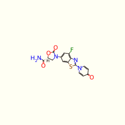 NC(=O)[C@H]1CN(c2cc(F)c3nc(-n4ccc(=O)cc4)sc3c2)C(=O)O1